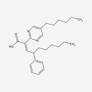 CCCCCCc1cnc(/C(=C\C(CCCCCC)c2ccccc2)C(=O)O)nc1